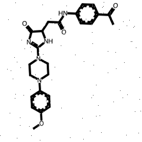 COc1ccc(N2CCN(C3=NC(=O)C(CC(=O)Nc4ccc(C(C)=O)cc4)N3)CC2)cc1